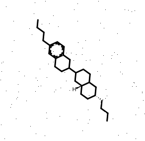 CCCCc1ccc2c(c1)CCC(C1CCC3C[C@H](CCCC)CC[C@@H]3C1)C2